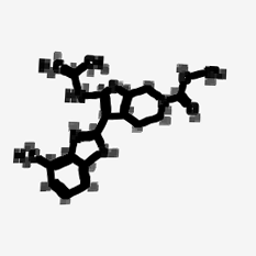 C=C(C)Nc1sc2c(c1-c1nc3c(C)cccc3s1)CCN(C(=O)OC(C)(C)C)C2